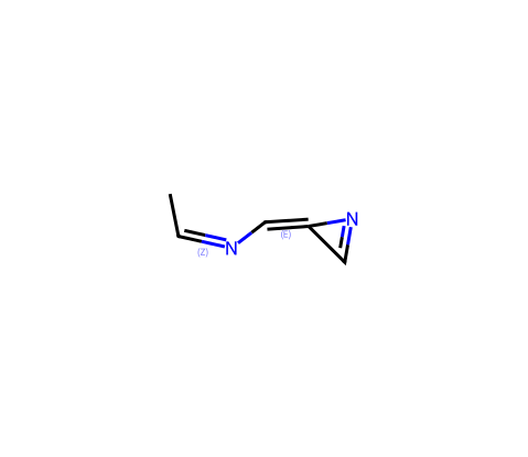 C/C=N\C=C1C=N/1